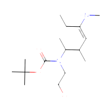 CCC(=CC(C)C(C)N(CCO)C(=O)OC(C)(C)C)NC